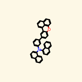 c1cc(-c2ccc3c(c2)-c2cccc4cccc(c24)O3)cc(N(c2cccc3ccccc23)c2cccc3ccccc23)c1